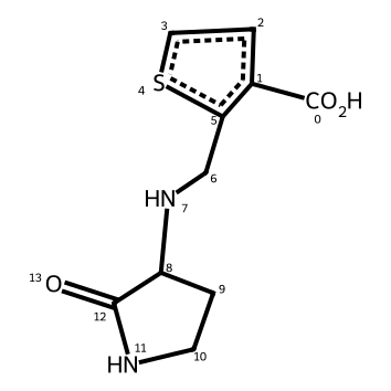 O=C(O)c1ccsc1CNC1CCNC1=O